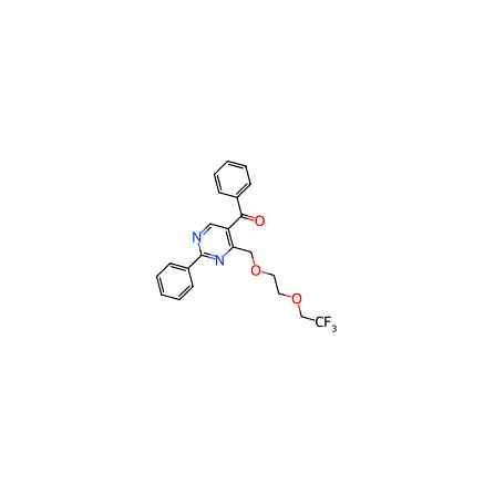 O=C(c1ccccc1)c1cnc(-c2ccccc2)nc1COCCOCC(F)(F)F